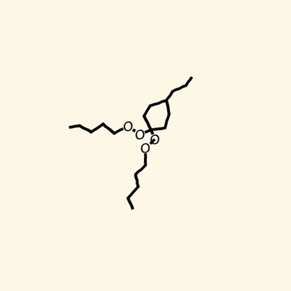 CCCCCOOC1(OOCCCCC)CCC(CCC)CC1